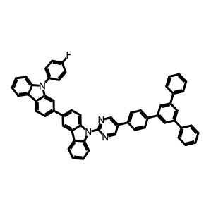 Fc1ccc(-n2c3ccccc3c3ccc(-c4ccc5c(c4)c4ccccc4n5-c4ncc(-c5ccc(-c6cc(-c7ccccc7)cc(-c7ccccc7)c6)cc5)cn4)cc32)cc1